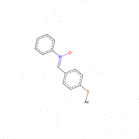 CC(=O)Sc1ccc(C=[N+]([O-])c2ccccc2)cc1